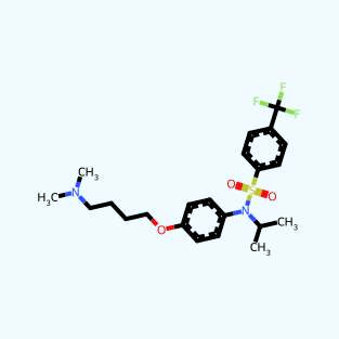 CC(C)N(c1ccc(OCCCCN(C)C)cc1)S(=O)(=O)c1ccc(C(F)(F)F)cc1